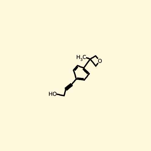 CC1(c2ccc(C#CCO)cc2)COC1